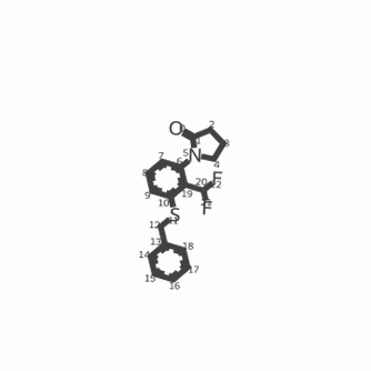 O=C1CCCN1c1cccc(SCc2ccccc2)c1C(F)F